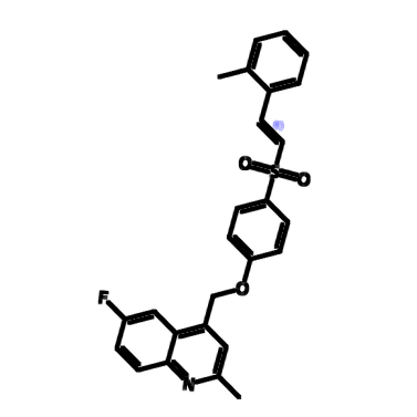 Cc1cc(COc2ccc(S(=O)(=O)/C=C/c3ccccc3C)cc2)c2cc(F)ccc2n1